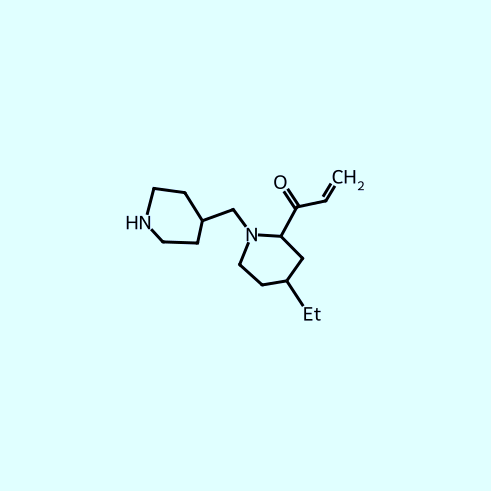 C=CC(=O)C1CC(CC)CCN1CC1CCNCC1